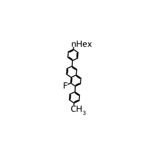 CCCCCCc1ccc(-c2ccc3c(F)c(-c4ccc(C)cc4)ccc3c2)cc1